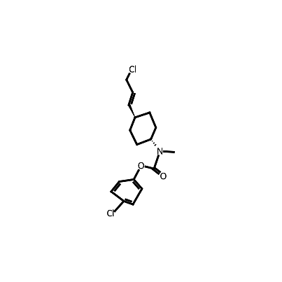 CN(C(=O)Oc1ccc(Cl)cc1)[C@H]1CC[C@H](C=CCCl)CC1